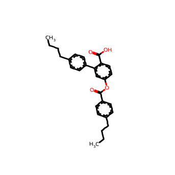 CCCCc1ccc(C(=O)Oc2ccc(C(=O)O)c(-c3ccc(CCCC)cc3)c2)cc1